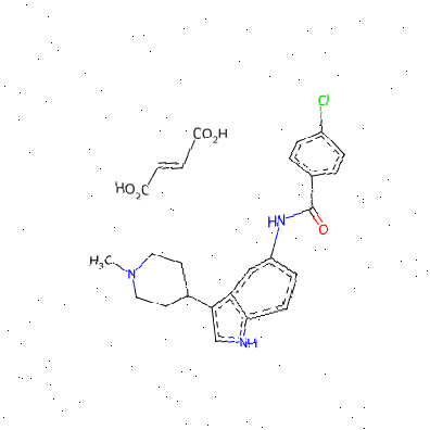 CN1CCC(c2c[nH]c3ccc(NC(=O)c4ccc(Cl)cc4)cc23)CC1.O=C(O)C=CC(=O)O